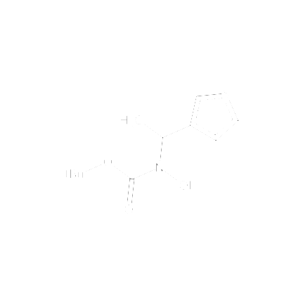 CC(c1ccsc1)N(O)C(=O)OC(C)(C)C